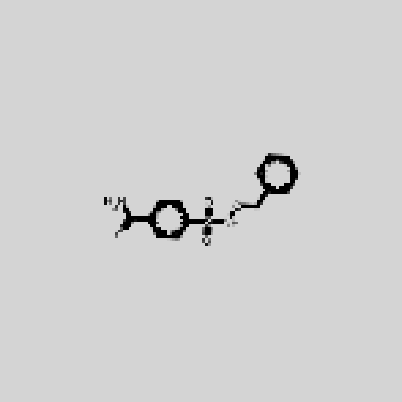 NC(=O)c1ccc(S(=O)(=O)NOCc2ccccc2)cc1